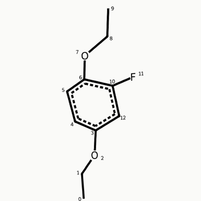 CCOc1ccc(OCC)c(F)c1